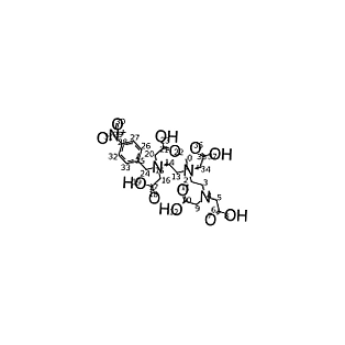 C[N+](CCN(CC(=O)O)CC(=O)O)(CC[N+](CC(=O)O)(CC(=O)O)Cc1ccc([N+](=O)[O-])cc1)CC(=O)O